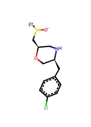 CC[S+]([O-])C[C@H]1CN[C@@H](Cc2ccc(Cl)cc2)CO1